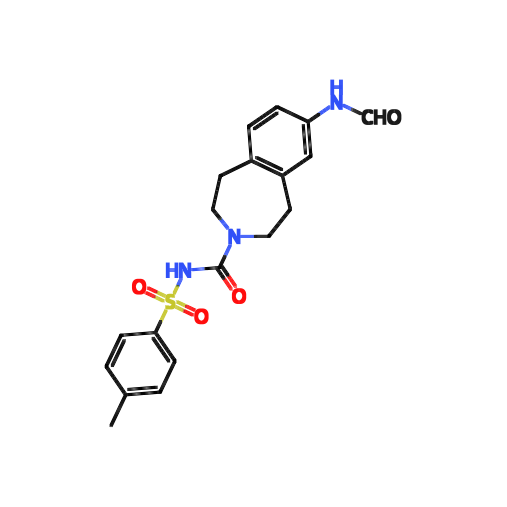 Cc1ccc(S(=O)(=O)NC(=O)N2CCc3ccc(NC=O)cc3CC2)cc1